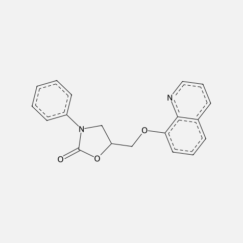 O=C1OC(COc2cccc3cccnc23)CN1c1ccccc1